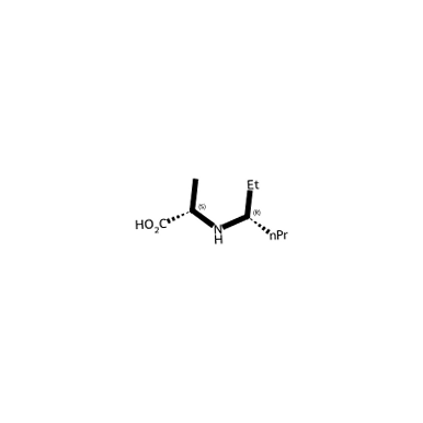 CCC[C@@H](CC)N[C@@H](C)C(=O)O